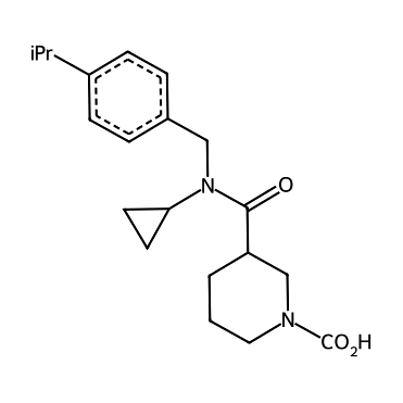 CC(C)c1ccc(CN(C(=O)C2CCCN(C(=O)O)C2)C2CC2)cc1